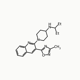 CCC(CC)NC1CCN(c2nc3ccccc3cc2-c2nc(C)no2)CC1